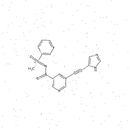 C[S@@](=O)(=NC(=O)c1cncc(C#Cc2cnc[nH]2)c1)c1ccccc1